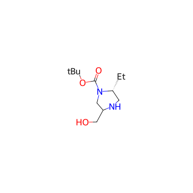 CC[C@@H]1CNC(CO)CN1C(=O)OC(C)(C)C